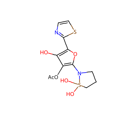 CC(=O)Oc1c(N2CCCS2(O)O)oc(-c2nccs2)c1O